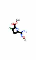 CCO/N=C(\N)c1ccc(Cl)c(C(=O)OC(C)(C)C)n1